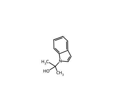 CC(C)(O)n1ccc2c[c]ccc21